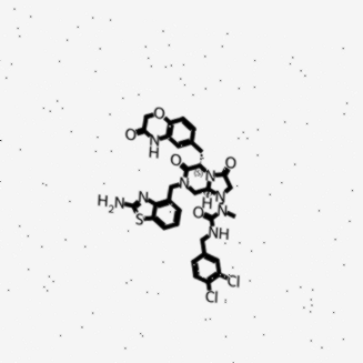 CN(C(=O)NCc1ccc(Cl)c(Cl)c1)N1CC(=O)N2[C@@H](Cc3ccc4c(c3)NC(=O)CO4)C(=O)N(Cc3cccc4sc(N)nc34)C[C@@H]21